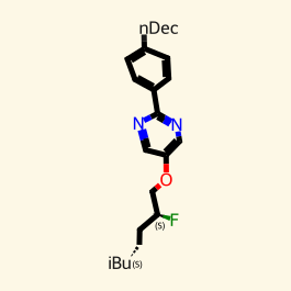 CCCCCCCCCCc1ccc(-c2ncc(OC[C@@H](F)CC[C@@H](C)CC)cn2)cc1